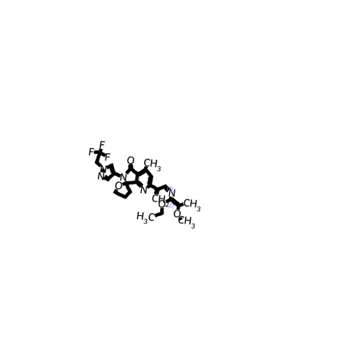 C=C(/C=N\C(OCC)=C(/C)OC)c1cc(C)c2c(n1)C1(CCCO1)N(c1cnn(CC(F)(F)F)c1)C2=O